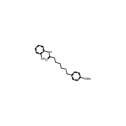 COc1ccc(CSCCCCC(=O)Nc2ccccc2O)cc1